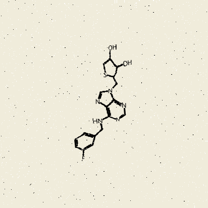 OC1CSC(Cn2cnc3c(NCc4cccc(F)c4)ncnc32)C1O